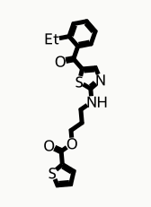 CCc1ccccc1C(=O)c1cnc(NCCCOC(=O)c2cccs2)s1